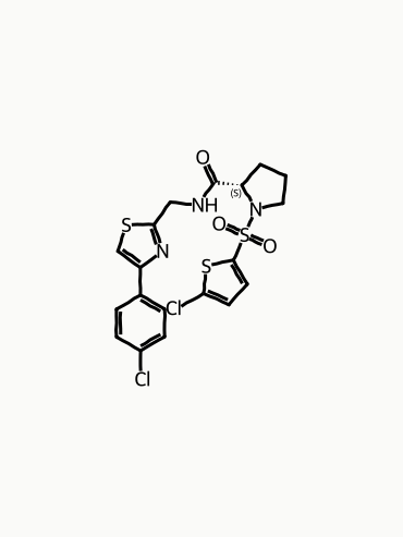 O=C(NCc1nc(-c2ccc(Cl)cc2)cs1)[C@@H]1CCCN1S(=O)(=O)c1ccc(Cl)s1